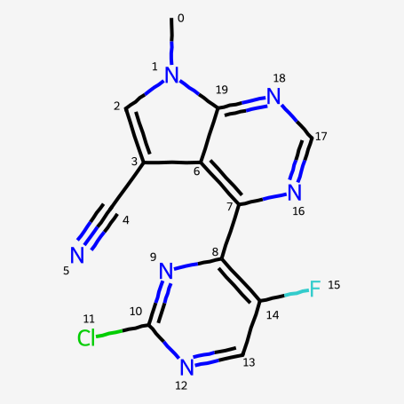 Cn1cc(C#N)c2c(-c3nc(Cl)ncc3F)ncnc21